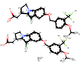 CC(C)Oc1ccc(COc2ccc3c(c2)c(Cl)c2n3CC[C@@H]2CC(=O)[O-])cc1C(F)(F)F.CC(C)Oc1ccc(COc2ccc3c(c2)c(Cl)c2n3CC[C@@H]2CC(=O)[O-])cc1C(F)(F)F.[Zn+2]